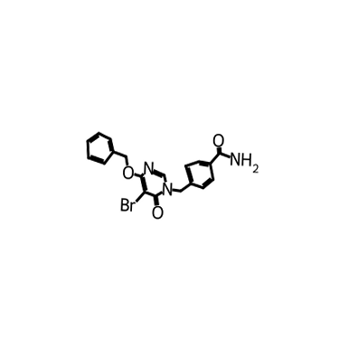 NC(=O)c1ccc(Cn2cnc(OCc3ccccc3)c(Br)c2=O)cc1